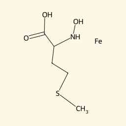 CSCCC(NO)C(=O)O.[Fe]